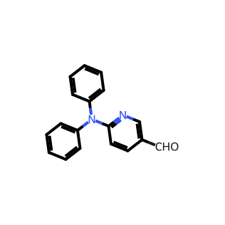 O=Cc1ccc(N(c2ccccc2)c2ccccc2)nc1